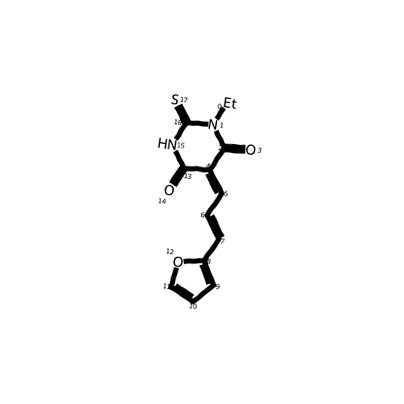 CCN1C(=O)/C(=C/C=C/c2ccco2)C(=O)NC1=S